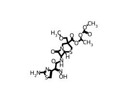 COCC1(C(=O)OC(C)OC(=O)OC)CS[C@@H]2C(NC(=O)C(=NO)c3csc(N)n3)C(=O)N2C1